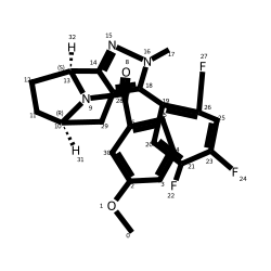 COc1cccc(C(=O)N2[C@@H]3CC[C@H]2c2nn(C)c(-c4cc(F)c(F)cc4F)c2C3)c1